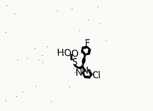 O=C(O)CSCc1nc2ccc(Cl)cn2c1C#Cc1ccc(F)cc1